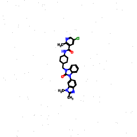 Cc1ncc(Cl)cc1C(=O)NC1CCC(Cn2c(=O)n(-c3ccc4nc(C)n(C)c4c3)c3ccccc32)CC1